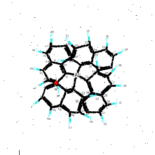 Fc1ccc2[c]([Al-]([c]3c(F)c(F)c(F)c4c(F)c(F)ccc34)([c]3c(F)c(F)c(F)c4c(F)c(F)ccc34)[c]3c(F)c(F)c(F)c4c(F)c(F)ccc34)c(F)c(F)c(F)c2c1F